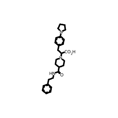 O=C(NCCc1ccccc1)C1CCN(C(Cc2ccc(N3CCCC3)cc2)C(=O)O)CC1